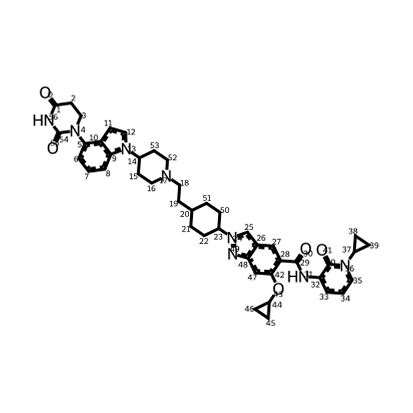 O=C1CCN(c2cccc3c2ccn3C2CCN(CCC3CCC(n4cc5cc(C(=O)Nc6cccn(C7CC7)c6=O)c(OC6CC6)cc5n4)CC3)CC2)C(=O)N1